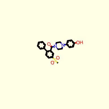 CS(=O)(=O)c1ccc(-c2ccccc2)c(C(=O)N2CCN(c3ccc(O)cc3)CC2)c1